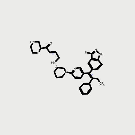 O=C(/C=C/CN[C@H]1CCCN(c2ccc(/C(=C(/CC(F)(F)F)c3ccccc3)c3ccc4[nH]nc(F)c4c3)cn2)C1)C1CNCCO1